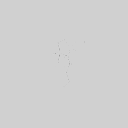 CS1(C)CCS(C)(C)N1CCCCl